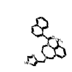 Cc1cccc2c1N(C(=O)c1cccc3ccccc13)CCN(Cc1c[nH]cn1)C2